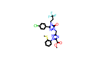 COC(=O)c1nc(Cn2nc(-c3ccc(Cl)cc3)n(CCC(F)(F)F)c2=O)nn1-c1ccccc1SC